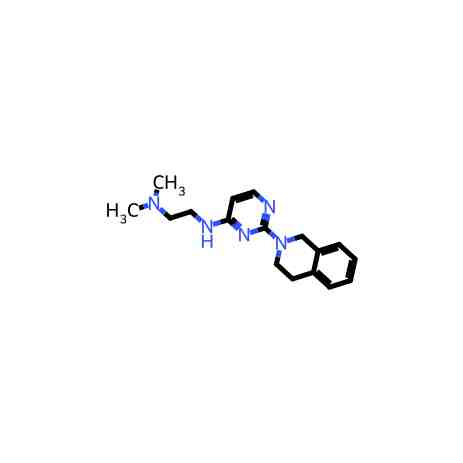 CN(C)CCNc1ccnc(N2CCc3ccccc3C2)n1